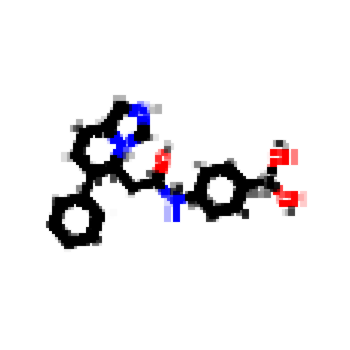 O=C(Cc1c(-c2ccccc2)ccc2cncn12)Nc1ccc(B(O)O)cc1